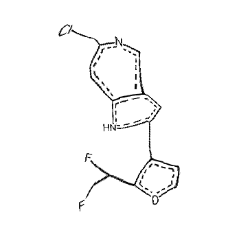 FC(F)c1occc1-c1cc2cnc(Cl)cc2[nH]1